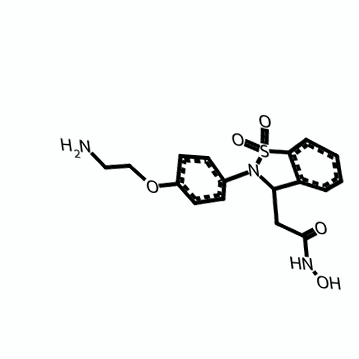 NCCOc1ccc(N2C(CC(=O)NO)c3ccccc3S2(=O)=O)cc1